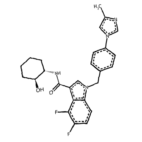 Cc1cn(-c2ccc(Cn3cc(C(=O)N[C@H]4CCCC[C@@H]4O)c4c(F)c(F)ccc43)cc2)cn1